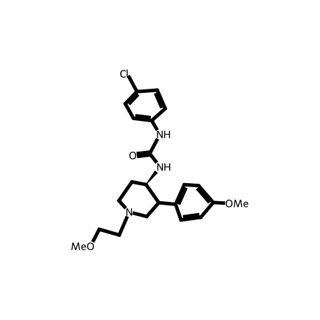 COCCN1CC[C@@H](NC(=O)Nc2ccc(Cl)cc2)C(c2ccc(OC)cc2)C1